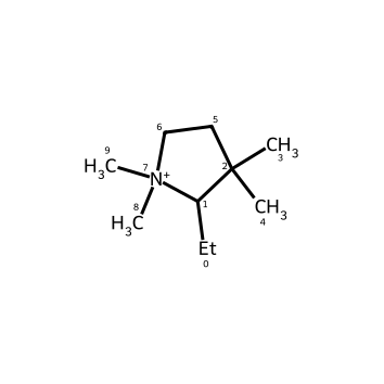 CCC1C(C)(C)CC[N+]1(C)C